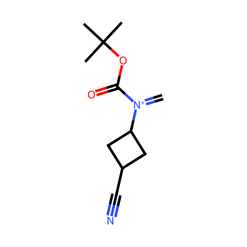 C=[N+](C(=O)OC(C)(C)C)C1CC(C#N)C1